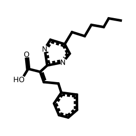 CCCCCCc1cnc(/C(=C\Cc2ccccc2)C(=O)O)nc1